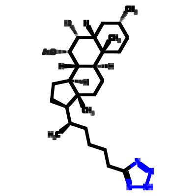 CC[C@H]1[C@@H](OC(C)=O)[C@@H]2[C@H](CC[C@]3(C)[C@@H]([C@H](C)CCCCc4nn[nH]n4)CC[C@@H]23)[C@@]2(C)CC[C@@H](C)C[C@@H]12